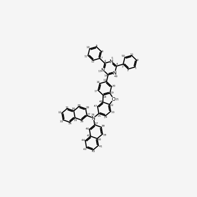 c1ccc(-c2nc(-c3ccccc3)nc(-c3ccc4c(c3)oc3ccc(N(c5ccc6ccccc6c5)c5ccc6ccccc6c5)cc34)n2)cc1